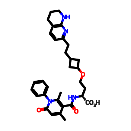 Cc1cc(=O)n(-c2ccccc2)c(C)c1C(=O)N[C@@H](CCOC1CC(CCc2ccc3c(n2)NCCC3)C1)C(=O)O